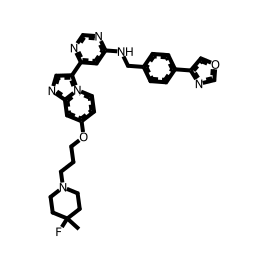 CC1(F)CCN(CCCOc2ccn3c(-c4cc(NCc5ccc(-c6cocn6)cc5)ncn4)cnc3c2)CC1